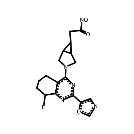 O=NC(=O)CC1C2CN(c3nc(-c4cnco4)nc4c3CCCC4F)CC12